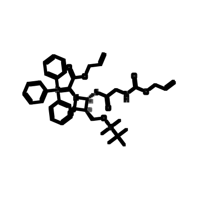 C=CCOC(=O)NCC(=O)S[C@@H]1[C@@H](CO[Si](C)(C)C(C)(C)C)C(=O)N1C(C(=O)OCC=C)=P(c1ccccc1)(c1ccccc1)c1ccccc1